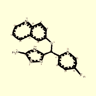 Cc1noc(C(Oc2ccc3ncccc3c2)c2ccc(F)cn2)n1